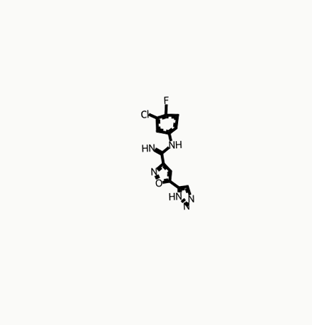 N=C(Nc1ccc(F)c(Cl)c1)c1cc(-c2cnn[nH]2)on1